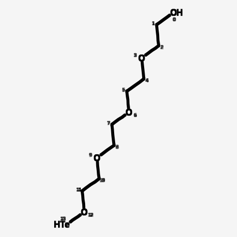 OCCOCCOCCOCCO[TeH]